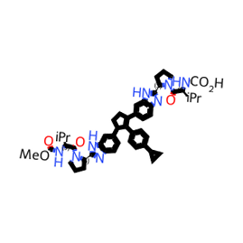 COC(=O)N[C@H](C(=O)N1CCC[C@H]1c1nc2ccc(C3CCC(c4ccc5nc([C@@H]6CCCN6C(=O)[C@@H](NC(=O)O)C(C)C)[nH]c5c4)=C3c3ccc(C4CC4)cc3)cc2[nH]1)C(C)C